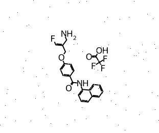 NCC(=CF)COc1ccc(C(=O)Nc2cccc3ccccc23)cc1.O=C(O)C(F)(F)F